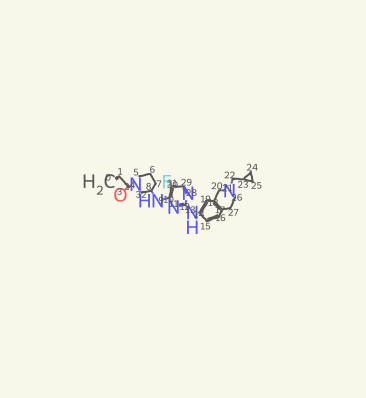 C=CC(=O)N1CCCC(Nc2nc(Nc3ccc4c(c3)CN(CC3CC3)CC4)ncc2F)C1